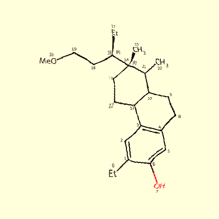 CCc1cc2c(cc1O)CCC1C2CC[C@](C)([C@H](CC)CCOC)C1C